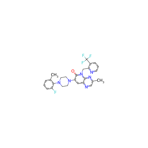 Cc1cnc2cc(N3CCN(c4c(C)cccc4F)CC3)c(=O)n(Cc3ncccc3C(F)(F)F)c2n1